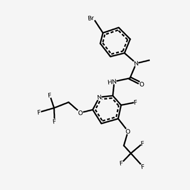 CN(C(=O)Nc1nc(OCC(F)(F)F)cc(OCC(F)(F)F)c1F)c1ccc(Br)cc1